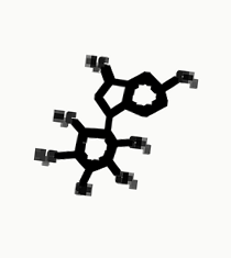 C=C1CC(c2c(C)c(C)c(S)c(C)c2C)c2ccc(C)cc21